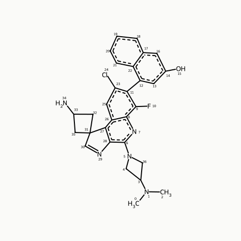 CN(C)C1CN(c2nc3c(F)c(-c4cc(O)cc5ccccc45)c(Cl)cc3c3c2N=CC32CC(N)C2)C1